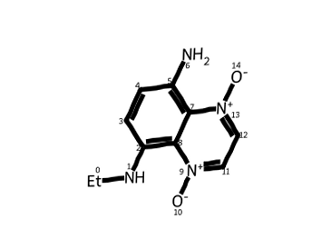 CCNc1ccc(N)c2c1[n+]([O-])cc[n+]2[O-]